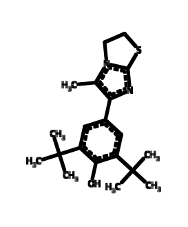 Cc1c(-c2cc(C(C)(C)C)c(O)c(C(C)(C)C)c2)nc2n1CCS2